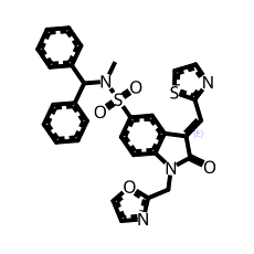 CN(C(c1ccccc1)c1ccccc1)S(=O)(=O)c1ccc2c(c1)/C(=C\c1nccs1)C(=O)N2Cc1ncco1